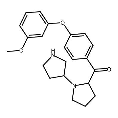 COc1cccc(Oc2ccc(C(=O)C3CCCN3C3CCNC3)cc2)c1